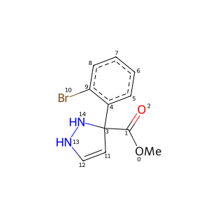 COC(=O)C1(c2ccccc2Br)C=CNN1